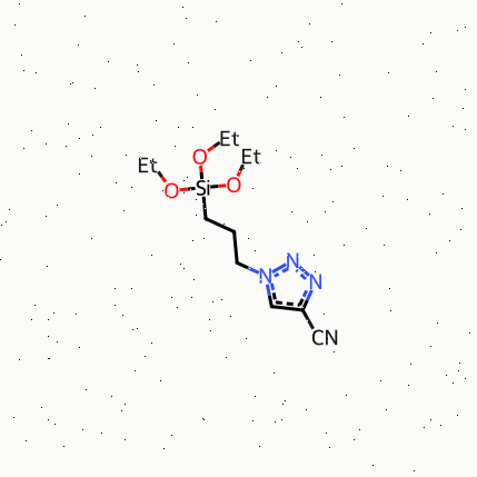 CCO[Si](CCCn1cc(C#N)nn1)(OCC)OCC